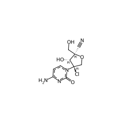 N#C[C@]1(CO)OC[C@](Cl)(n2ccc(N)nc2=O)[C@@H]1O